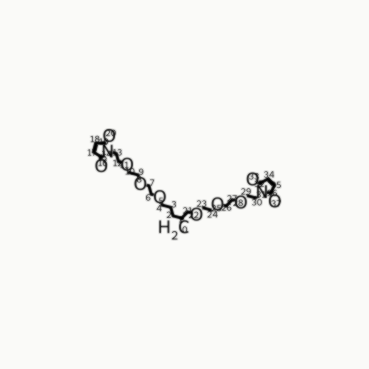 C=C(CCCOCCOCCOCCN1C(=O)C=CC1=O)COCCOCCOCCN1C(=O)C=CC1=O